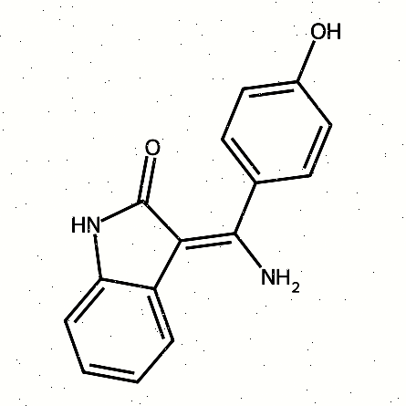 NC(=C1C(=O)Nc2ccccc21)c1ccc(O)cc1